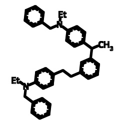 CCN(Cc1ccccc1)c1ccc(CCc2cccc(C(C)c3ccc(N(CC)Cc4ccccc4)cc3)c2)cc1